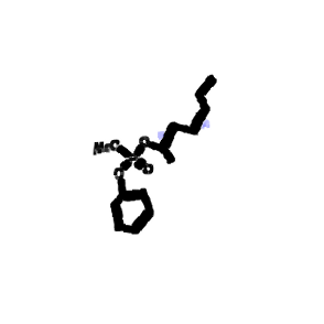 C=C/C=C\C=C(/C)OP(=O)(OC)Oc1ccccc1